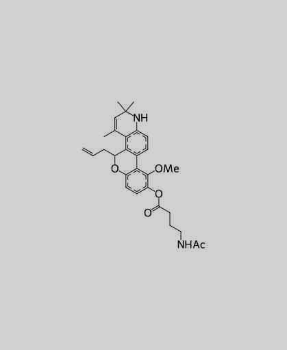 C=CCC1Oc2ccc(OC(=O)CCCNC(C)=O)c(OC)c2-c2ccc3c(c21)C(C)=CC(C)(C)N3